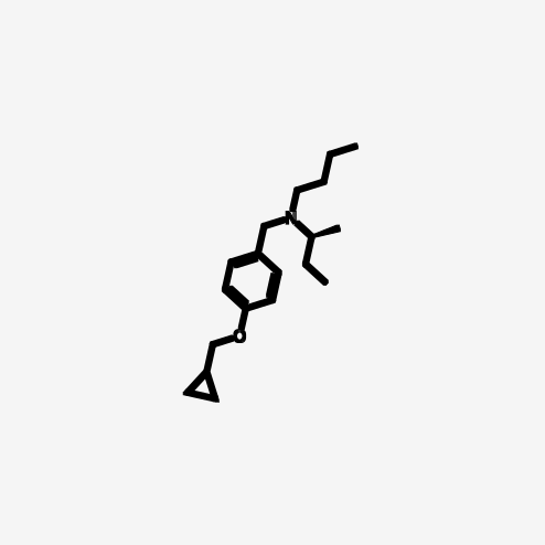 CCCCN(Cc1ccc(OCC2CC2)cc1)[C@@H](C)CC